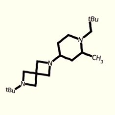 CC1CC(N2CC3(C2)CN(C(C)(C)C)C3)CCN1CC(C)(C)C